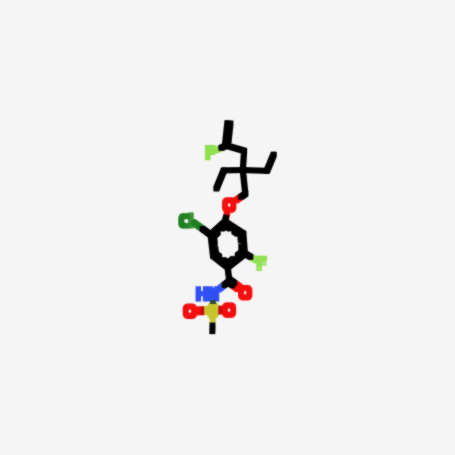 C=C(F)CC(CC)(CC)COc1cc(F)c(C(=O)NS(C)(=O)=O)cc1Cl